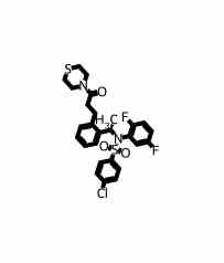 C[C@H](c1ccccc1CCC(=O)N1CCSCC1)N(c1cc(F)ccc1F)S(=O)(=O)c1ccc(Cl)cc1